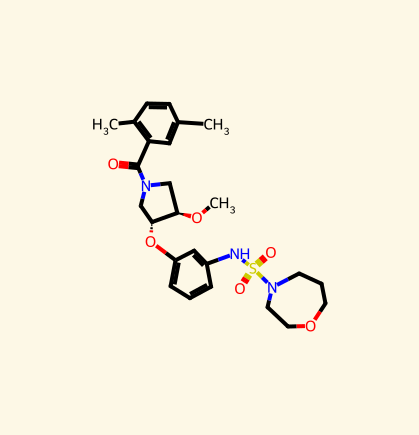 CO[C@@H]1CN(C(=O)c2cc(C)ccc2C)C[C@H]1Oc1cccc(NS(=O)(=O)N2CCCOCC2)c1